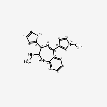 CNC1Nc2ncccc2C(c2ccn(C)c2)=NC1c1cccs1